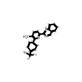 Cc1ccc(-c2ncc3ccccc3n2)nc1-c1ccc(C(F)(F)F)cc1